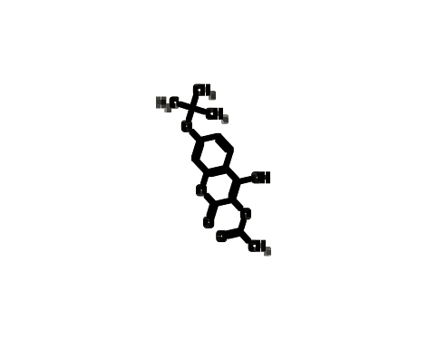 CC(=O)Oc1c(O)c2ccc(OC(C)(C)C)cc2oc1=O